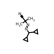 CC(C)(C#N)N=NC(C1CC1)C1CC1